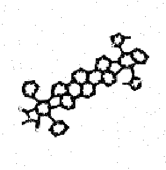 Cc1ccsc1-c1c2c(c(-c3sccc3C)c3ccccc13)-c1ccc3c4ccc5c6ccc7c8c(ccc(c9ccc(c%10ccc-2c1c%103)c4c95)c86)-c1c(-c2ccccc2)c2c(c(-c3ccccc3)c1-7)C(=O)N(C)C2=O